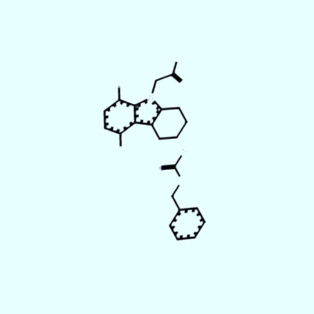 O=C(O)Cn1c2c(c3c(F)ccc(Cl)c31)C[C@@H](NC(=O)OCc1ccccc1)CC2